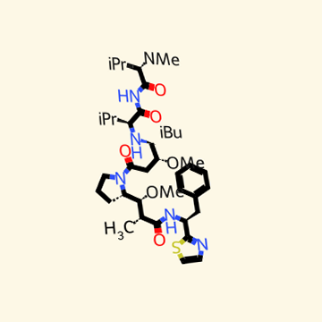 CC[C@H](C)[C@H](N[C@H](C(=O)NC(=O)[C@@H](NC)C(C)C)C(C)C)[C@@H](CC(=O)N1CCC[C@H]1[C@H](OC)[C@@H](C)C(=O)N[C@@H](Cc1ccccc1)c1nccs1)OC